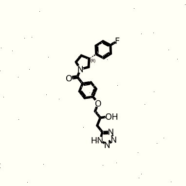 O=C(c1ccc(OCC(O)Cc2nnn[nH]2)cc1)N1CC[C@H](c2ccc(F)cc2)C1